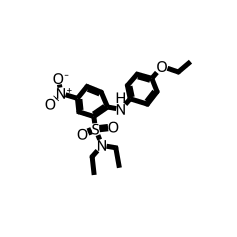 CCOc1ccc(Nc2ccc([N+](=O)[O-])cc2S(=O)(=O)N(CC)CC)cc1